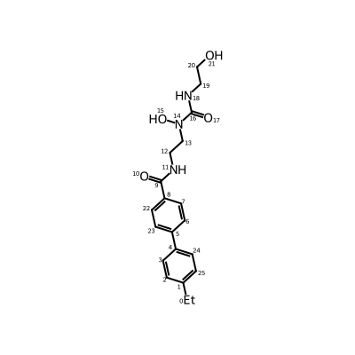 CCc1ccc(-c2ccc(C(=O)NCCN(O)C(=O)NCCO)cc2)cc1